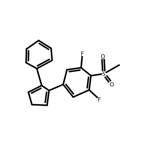 CS(=O)(=O)c1c(F)cc(C2=CCC=C2c2ccccc2)cc1F